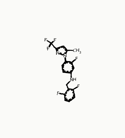 Cc1cc(C(F)(F)F)nn1-c1ccc(NCc2c(F)cccc2F)cc1F